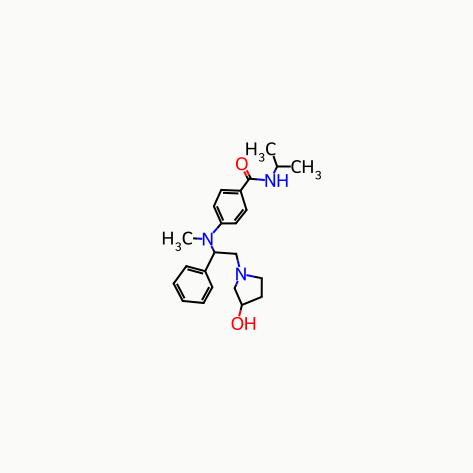 CC(C)NC(=O)c1ccc(N(C)C(CN2CCC(O)C2)c2ccccc2)cc1